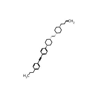 C=CCC[C@H]1CC[C@H](CC[C@H]2CC[C@H](c3ccc(C#Cc4ccc(CCC)cc4)cc3)CC2)CC1